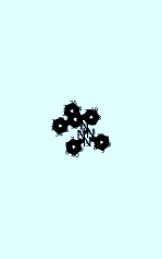 c1ccc(-c2nc(-c3ccccc3)nc(-n3c4ccccc4c4c5ccccc5c(-c5ccccc5)cc43)n2)cc1